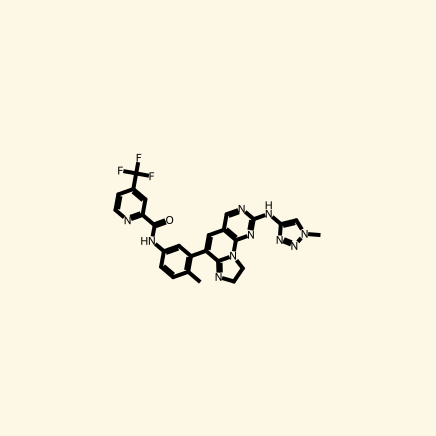 Cc1ccc(NC(=O)c2cc(C(F)(F)F)ccn2)cc1C1=Cc2cnc(Nc3cn(C)nn3)nc2N2CCN=C12